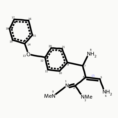 CNN=C(NC)/C(=C\N)C(N)c1ccc(Oc2ccccc2)cc1